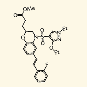 CCOc1nn(CC)cc1S(=O)(=O)N1CC(CCC(=O)OC)Oc2ccc(/C=C/c3ccccc3F)cc21